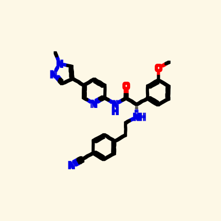 COc1cccc([C@H](NCCc2ccc(C#N)cc2)C(=O)Nc2ccc(-c3cnn(C)c3)cn2)c1